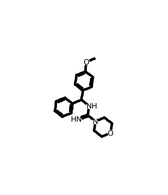 COc1ccc(C(NC(=N)N2CCOCC2)c2ccccc2)cc1